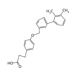 Cc1cccc(-c2cccc(COc3ccc(CCC(=O)O)cc3)c2)c1C